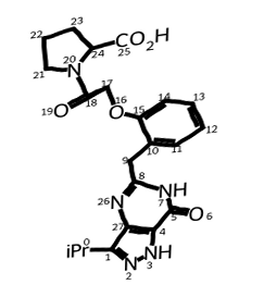 CC(C)c1n[nH]c2c(=O)[nH]c(Cc3ccccc3OCC(=O)N3CCCC3C(=O)O)nc12